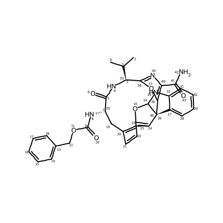 CC(C)[C@@H]1NC(=O)[C@@H](NC(=O)OCc2ccccc2)Cc2ccc3c(c2)[C@@]2(c4ccccc4NC2O3)c2oc1nc2C(N)=O